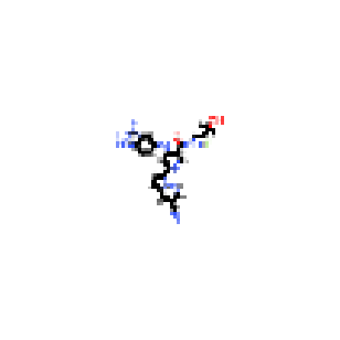 CC(C)(O)[C@H](F)CNC(=O)c1cnc(-c2ccc3cc(C#N)cnn23)cc1Nc1ccc2c(c1)NNN2